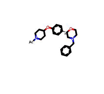 CC(=O)N1CCC(Oc2ccc([C@H]3CN(Cc4ccccc4)CCO3)cc2)CC1